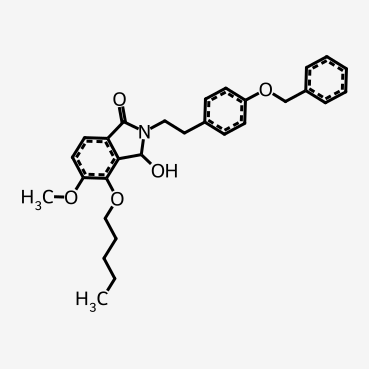 CCCCCOc1c(OC)ccc2c1C(O)N(CCc1ccc(OCc3ccccc3)cc1)C2=O